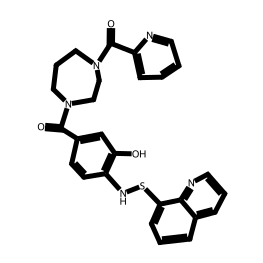 O=C(c1ccc(NSc2cccc3cccnc23)c(O)c1)N1CCCN(C(=O)c2ccccn2)CC1